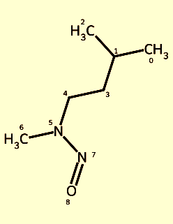 CC(C)CCN(C)N=O